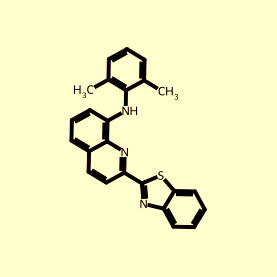 Cc1cccc(C)c1Nc1cccc2ccc(-c3nc4ccccc4s3)nc12